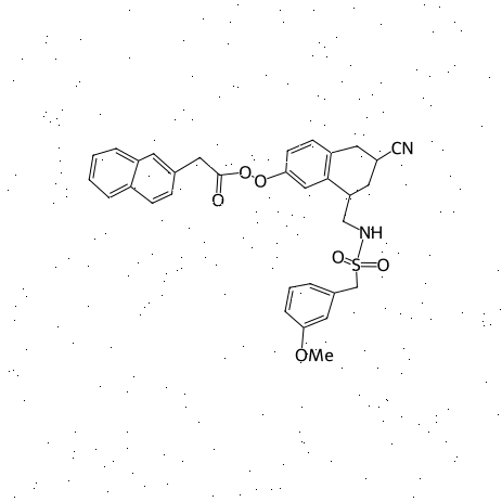 COc1cccc(CS(=O)(=O)NCC2CC(C#N)Cc3ccc(OOC(=O)Cc4ccc5ccccc5c4)cc32)c1